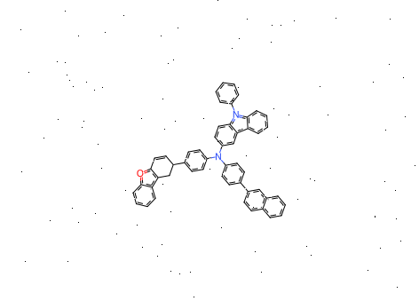 C1=CC(c2ccc(N(c3ccc(-c4ccc5ccccc5c4)cc3)c3ccc4c(c3)c3ccccc3n4-c3ccccc3)cc2)Cc2c1oc1ccccc21